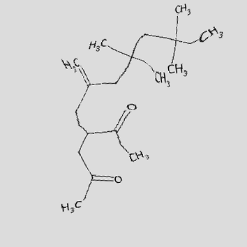 C=C(CC(CC(C)=O)C(C)=O)CC(C)(C)CC(C)(C)C